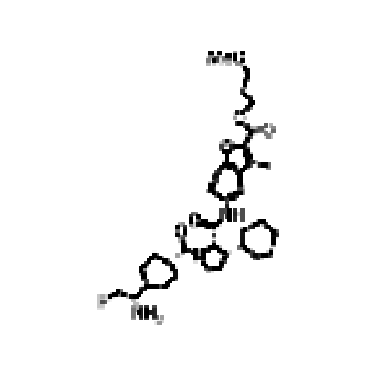 COCCCOC(=O)c1oc2ccc(NC(=O)[C@@H]3[C@H](C4CCCCC4)CCN3C(=O)[C@H]3CC[C@H]([C@H](N)CF)CC3)cc2c1C